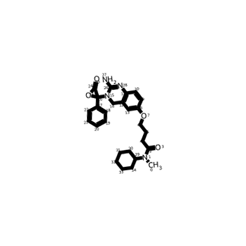 CN(C(=O)CCCOc1ccc2c(c1)CN(C1(c3ccccc3)OC1=O)C(N)=N2)C1CCCCC1